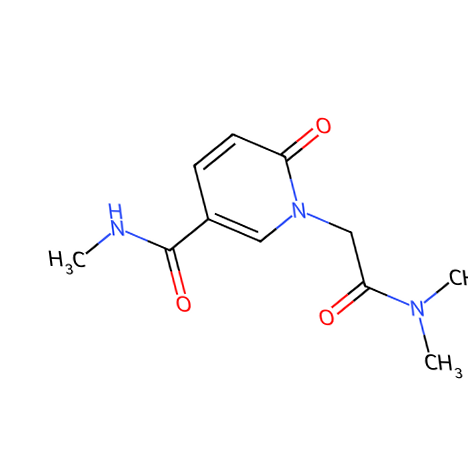 CNC(=O)c1ccc(=O)n(CC(=O)N(C)C)c1